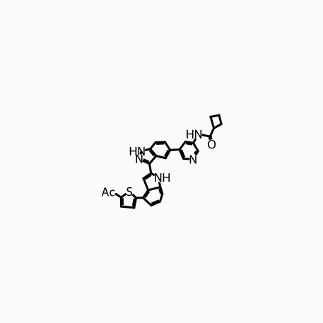 CC(=O)c1ccc(-c2cccc3[nH]c(-c4n[nH]c5ccc(-c6cncc(NC(=O)C7CCC7)c6)cc45)cc23)s1